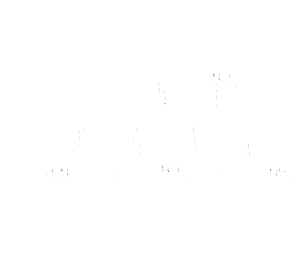 C=C(c1ccc(N)cc1N)c1ccc(N)cc1N